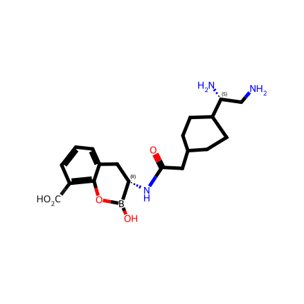 NC[C@@H](N)C1CCC(CC(=O)N[C@H]2Cc3cccc(C(=O)O)c3OB2O)CC1